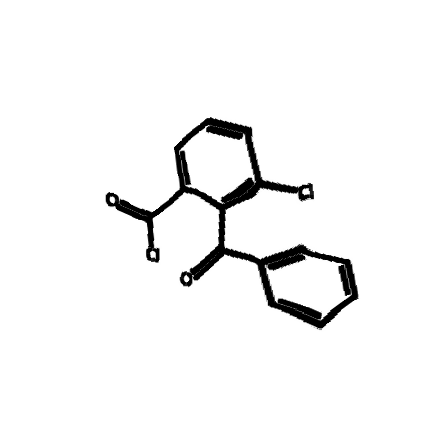 O=C(Cl)c1cccc(Cl)c1C(=O)c1ccccc1